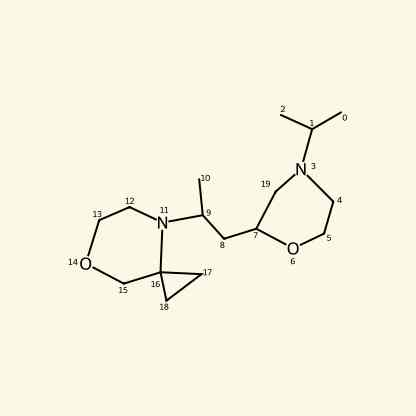 CC(C)N1CCOC(CC(C)N2CCOCC23CC3)C1